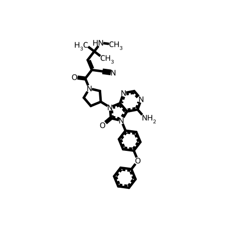 CNC(C)(C)C=C(C#N)C(=O)N1CCC(n2c(=O)n(-c3ccc(Oc4ccccc4)cc3)c3c(N)ncnc32)C1